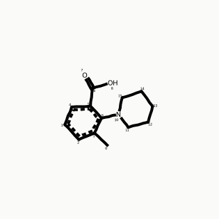 Cc1cccc(C(=O)O)c1N1CCCCC1